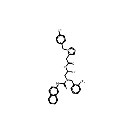 CC(C)[C@@H](CN(Cc1ccccc1C(F)(F)F)C(=S)Nc1ccc2ccccc2c1)NC(=O)Cc1cncn1Cc1ccc(C#N)cc1